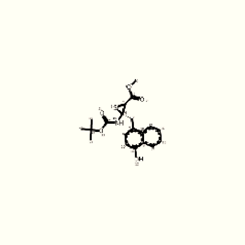 COC(=O)C1S[C@]1(Cc1ccc(O)c2ccccc12)NC(=O)OC(C)(C)C